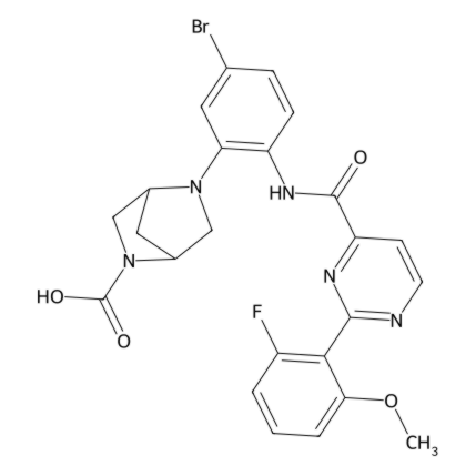 COc1cccc(F)c1-c1nccc(C(=O)Nc2ccc(Br)cc2N2CC3CC2CN3C(=O)O)n1